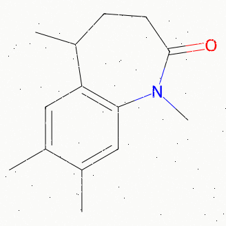 Cc1cc2c(cc1C)N(C)C(=O)CCC2C